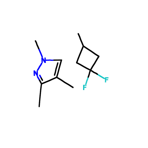 CC1CC(F)(F)C1.Cc1cn(C)nc1C